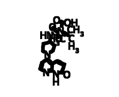 CC(C)(C)N(C(=O)O)S(=O)(=O)NC1CCN(c2ccnc3[nH]c(=O)ccc23)CC1